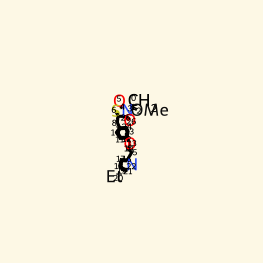 C=C(OC)N1C(=O)SC(Cc2ccc(OCCc3ccc(CC)cn3)cc2)C1=O